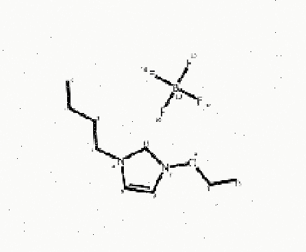 CCCCN1C=CN(OCC)C1.F[B-](F)(F)F